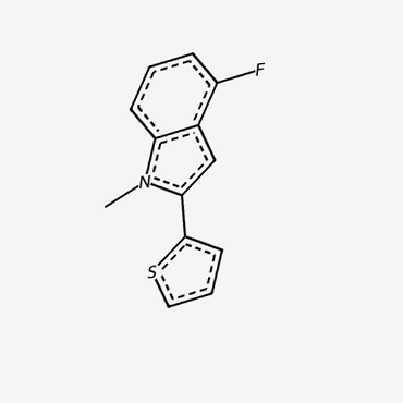 Cn1c(-c2cccs2)cc2c(F)cccc21